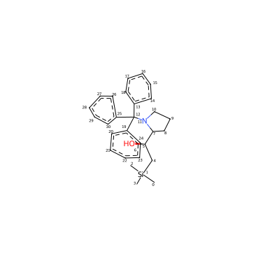 C[Si](C)(C)C[C@@H](O)C1CCCN1C(c1ccccc1)(c1ccccc1)c1ccccc1